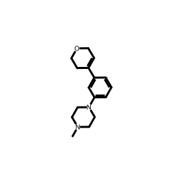 CN1CCN(c2cc[c]c(C3=CCOCC3)c2)CC1